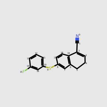 N#CC1=CCCc2cc(Sc3cccc(F)c3)ccc21